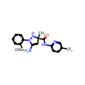 COc1ccccc1N1NC(C)(C(=O)Nc2ccc(C(F)(F)F)cn2)C=C1N